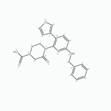 O=C(O)N1CCN(c2nc(NCc3ccccc3)ccc2-c2ccoc2)C(=O)C1